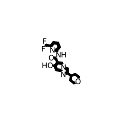 O=C(Nc1cccc(C(F)F)n1)c1cn2cc(C3CCOCC3)nc2cc1O